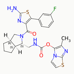 Cc1nc2sccn2c1OC(=O)NC[C@@H]1[C@H]2CCC[C@H]2CN1C(=O)c1nc(N)sc1-c1cccc(F)c1